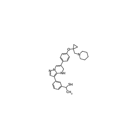 CC(S)c1cccc(-c2cnn3c2NCC(c2ccc(OC4(CN5CCCCC5)CC4)cc2)=C3)c1